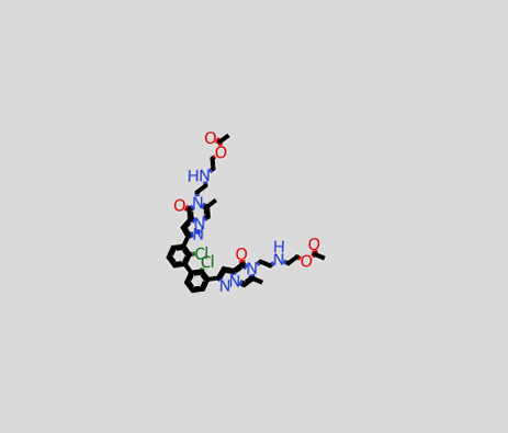 CC(=O)OCCNCCn1c(C)cn2nc(-c3cccc(-c4cccc(-c5cc6c(=O)n(CCNCCOC(C)=O)c(C)cn6n5)c4Cl)c3Cl)cc2c1=O